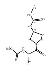 COC(=O)N[C@H](C(=O)N1CC[C@H](OC(=O)NC(C)C)C1)C(C)C